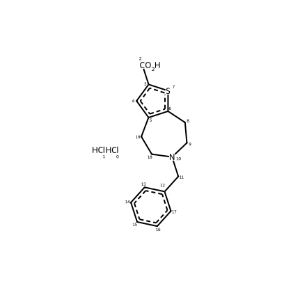 Cl.Cl.O=C(O)c1cc2c(s1)CCN(Cc1ccccc1)CC2